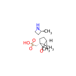 CC1(C)[C@H]2CC[C@]1(CS(=O)(=O)O)C(=O)C2.C[C@H]1CCN1